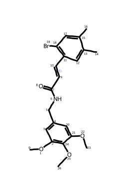 COc1cc(CNC(=O)/C=C/c2cc(C)c(C)cc2Br)cc(OC)c1OC